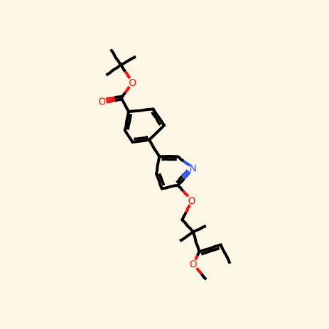 CC=C(OC)C(C)(C)COc1ccc(-c2ccc(C(=O)OC(C)(C)C)cc2)cn1